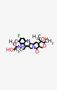 C=C1OCc2c(cc3n(c2=O)Cc2c-3nc3cc(F)c(C)c(NC(=O)CO)c3c2CC)[C@@]1(O)CC